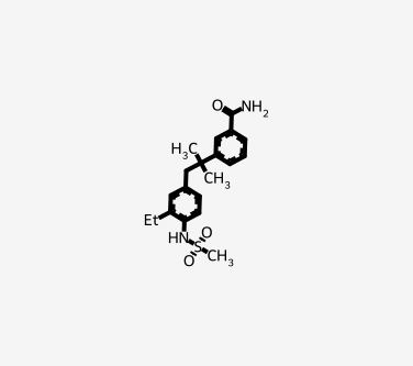 CCc1cc(CC(C)(C)c2cccc(C(N)=O)c2)ccc1NS(C)(=O)=O